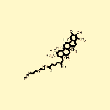 CCCC(CCCC(=O)NCCOCCN=[N+]=[N-])CC1C[C@@](C)(C(=O)O)CC2[C@@]1(C)CC[C@]1(C)C3=CC=C4C(=CC(=O)C(O)=C4C)[C@]3(C)CC[C@@]21C